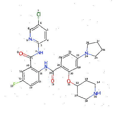 O=C(Nc1ccc(Cl)cn1)c1cc(F)ccc1NC(=O)c1ccc(N2CCCC2)cc1OC1CCNCC1